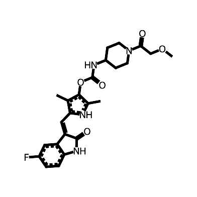 COCC(=O)N1CCC(NC(=O)Oc2c(C)[nH]c(/C=C3\C(=O)Nc4ccc(F)cc43)c2C)CC1